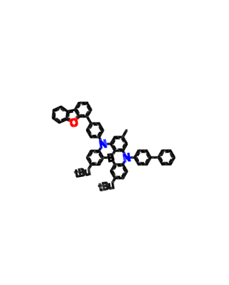 Cc1cc2c3c(c1)N(c1ccc(-c4cccc5c4oc4ccccc45)cc1)c1ccc(C(C)(C)C)cc1B3c1cc(C(C)(C)C)ccc1N2c1ccc(-c2ccccc2)cc1